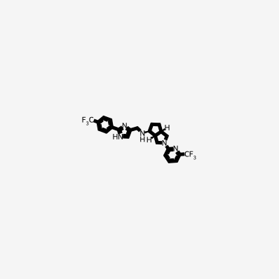 FC(F)(F)c1ccc(-c2nc(CN[C@H]3CC[C@@H]4CN(c5cccc(C(F)(F)F)n5)C[C@@H]43)c[nH]2)cc1